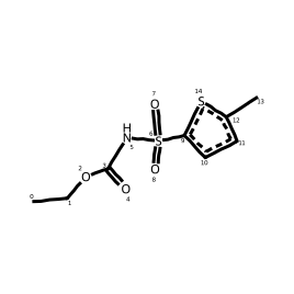 CCOC(=O)NS(=O)(=O)c1ccc(C)s1